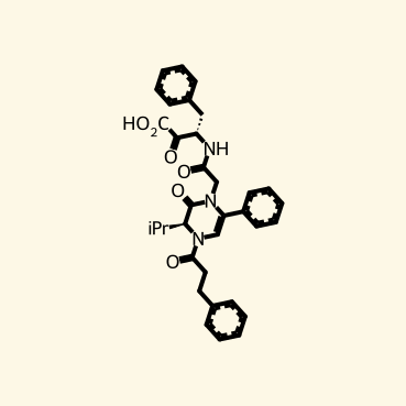 CC(C)[C@H]1C(=O)N(CC(=O)N[C@@H](Cc2ccccc2)C(=O)C(=O)O)C(c2ccccc2)=CN1C(=O)CCc1ccccc1